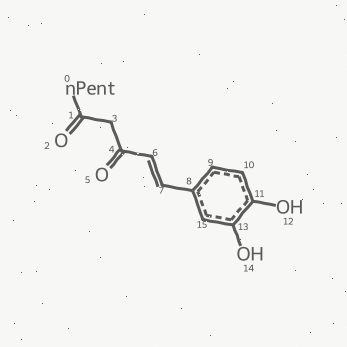 CCCCCC(=O)CC(=O)/C=C/c1ccc(O)c(O)c1